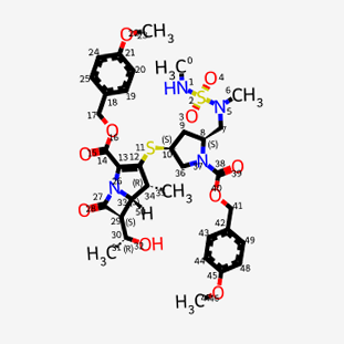 CNS(=O)(=O)N(C)C[C@@H]1C[C@H](SC2=C(C(=O)OCc3ccc(OC)cc3)N3C(=O)[C@H]([C@@H](C)O)[C@H]3[C@H]2C)CN1C(=O)OCc1ccc(OC)cc1